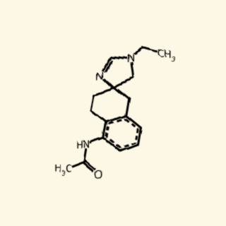 CCN1C=NC2(CCc3c(cccc3NC(C)=O)C2)C1